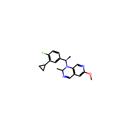 COc1cc2c(cn1)N([C@H](C)c1ccc(F)c(C3CC3)c1)C(C)N=C2